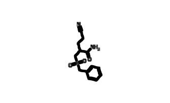 N#CCCC(CS(=O)(=O)Cc1ccccc1)C(N)=O